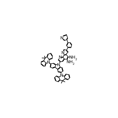 CC1(C)c2ccccc2N(c2ccc3c(c2)c2ccc(N4c5ccccc5C(C)(C)c5ccccc54)cc2n3-c2cnc3c(c2)c(N)c(N)c2cc(-c4cccc(-c5cccnc5)c4)cnc23)c2ccccc21